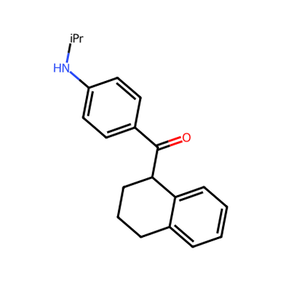 CC(C)Nc1ccc(C(=O)C2CCCc3ccccc32)cc1